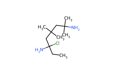 CCC(N)(Cl)CC(C)(C)CC(C)(C)N